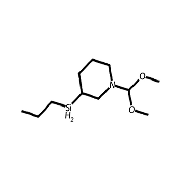 CCC[SiH2]C1CCCN(C(OC)OC)C1